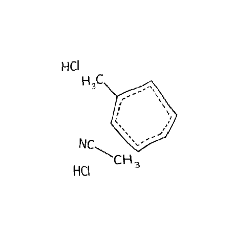 CC#N.Cc1ccccc1.Cl.Cl